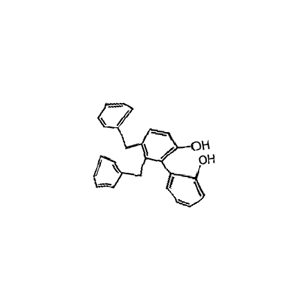 Oc1ccccc1-c1c(O)ccc(Cc2ccccc2)c1Cc1ccccc1